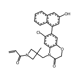 C=CC(=O)N1CC(C)(CN2C(=O)COc3cc(-c4cc(O)cc5ccccc45)c(Cl)cc32)C1